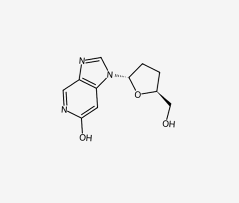 OC[C@@H]1CC[C@@H](n2cnc3cnc(O)cc32)O1